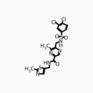 Cc1ncc(CNC(=O)c2cnc(CNS(=O)(=O)c3ccc(Cl)c(Cl)c3)c(C)n2)s1